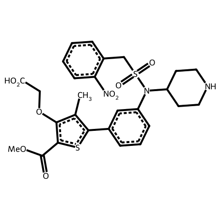 COC(=O)c1sc(-c2cccc(N(C3CCNCC3)S(=O)(=O)Cc3ccccc3[N+](=O)[O-])c2)c(C)c1OCC(=O)O